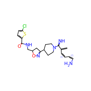 C=C(/C=C\C=C/N)C(=N)N1CCC(C2=NOC(CNC(=O)c3ccc(Cl)s3)C2)CC1